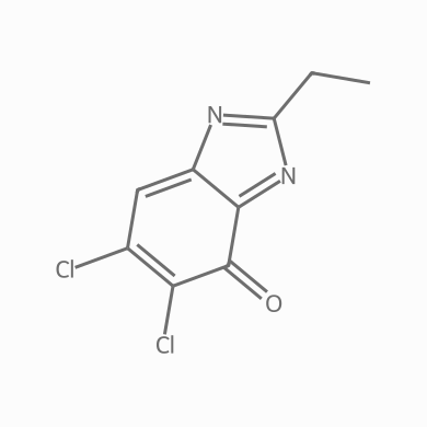 CCC1=NC2=CC(Cl)=C(Cl)C(=O)C2=N1